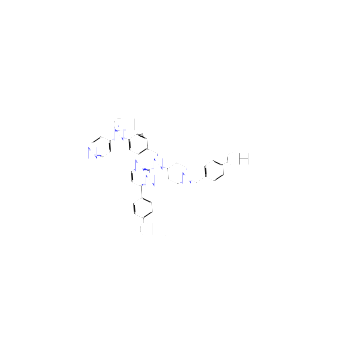 Cc1ccc(CN2CCC(N(Cc3ccc(N(C)c4ccncc4)cc3)c3nccc(-c4ccc(C(F)(F)F)cc4)n3)CC2)cc1